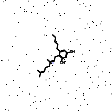 CCCCCc1cc(O)cc(O)c1C/C=C(\C)CCC=C(C)C